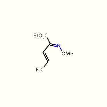 CCOC(=O)C(C=CC(F)(F)F)=NOC